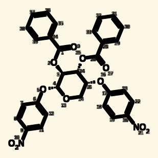 O=C(O[C@@H]1[C@@H](Oc2ccc([N+](=O)[O-])cc2)OC[C@@H](Oc2ccc([N+](=O)[O-])cc2)[C@H]1OC(=O)c1ccccc1)c1ccccc1